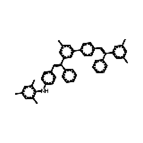 Cc1cc(C)cc(C(=Cc2ccc(-c3cc(C)cc(C(=Cc4ccc(Nc5c(C)cc(C)cc5C)cc4)c4ccccc4)c3)cc2)c2ccccc2)c1